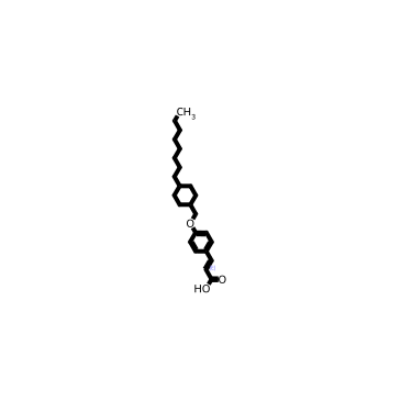 CCCCCCCCC1CCC(COc2ccc(/C=C/C(=O)O)cc2)CC1